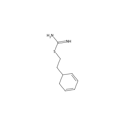 N=C(N)SCCC1C=CC=CC1